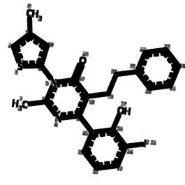 Cc1csc(-n2c(C)nc(-c3cccc(F)c3O)c(CCc3ccccc3)c2=O)c1